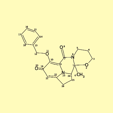 CC12OCCCN1C(=O)c1c(OCc3ccccc3)c(=O)cc3n1C2CC3